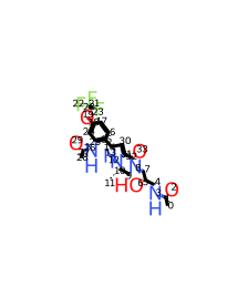 CC(=O)NC[C@@H](O)CN1C[C@H](C)n2nc(-c3ccc(OC(F)(F)F)cc3NC(C)=O)cc2C1=O